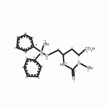 CC(C)(C)OC(=O)NC(CCC(=O)O)CO[Si](c1ccccc1)(c1ccccc1)C(C)(C)C